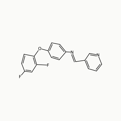 Fc1ccc(Oc2ccc(N=Cc3cccnc3)cc2)c(F)c1